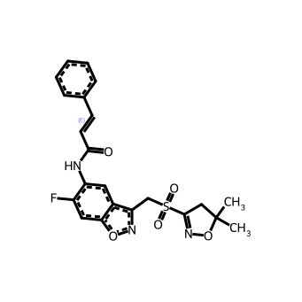 CC1(C)CC(S(=O)(=O)Cc2noc3cc(F)c(NC(=O)/C=C/c4ccccc4)cc23)=NO1